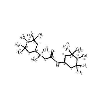 CC1(C)CC(NC(=O)C[N+](C)(C)C2CC(C)(C)N(O)C(C)(C)C2)CC(C)(C)N1O